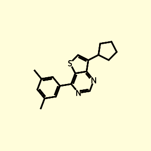 Cc1cc(C)cc(-c2ncnc3c(C4CCCC4)csc23)c1